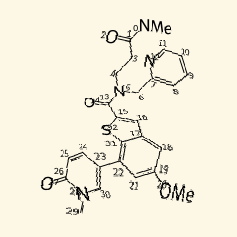 CNC(=O)CCN(Cc1ccccn1)C(=O)c1cc2cc(OC)cc(-c3ccc(=O)n(C)c3)c2s1